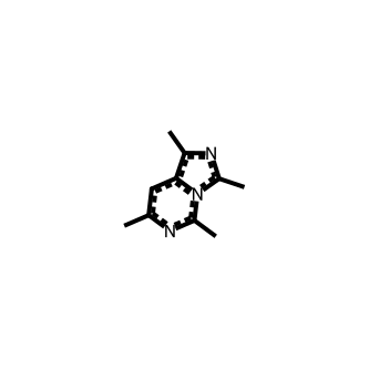 Cc1cc2c(C)nc(C)n2c(C)n1